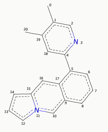 Cc1cnc(-c2cccc3cn4cccc4cc23)cc1C